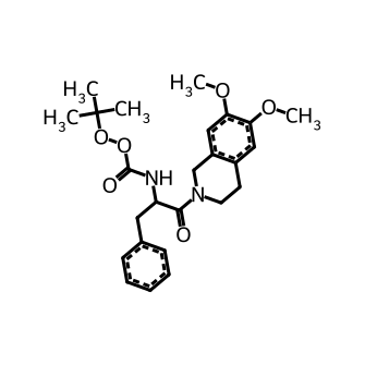 COc1cc2c(cc1OC)CN(C(=O)C(Cc1ccccc1)NC(=O)OOC(C)(C)C)CC2